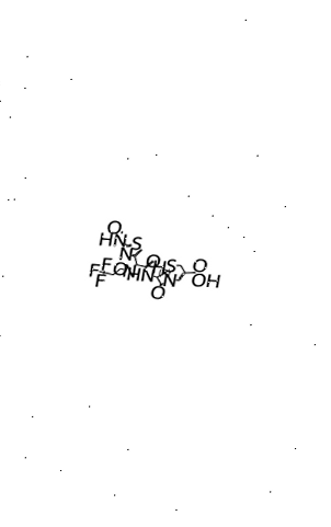 O=CNc1nc(C(=NOCC(F)(F)F)C(=O)NC2C(=O)N3C=C(C(=O)O)CS[C@H]23)cs1